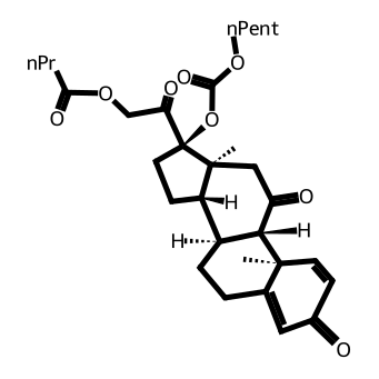 CCCCCOC(=O)O[C@]1(C(=O)COC(=O)CCC)CC[C@H]2[C@@H]3CCC4=CC(=O)C=C[C@]4(C)[C@H]3C(=O)C[C@@]21C